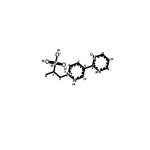 CC(C[n+]1ccc(-c2ncccn2)cn1)S(=O)(=O)[O-]